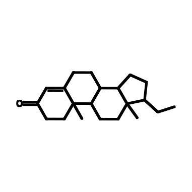 CCC1CCC2C3CCC4=CC(=O)CCC4(C)C3CCC12C